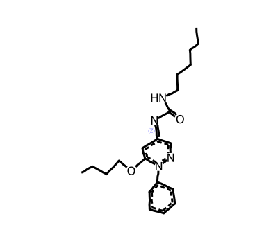 CCCCCCNC(=O)/N=c1\cnn(-c2ccccc2)c(OCCCC)c1